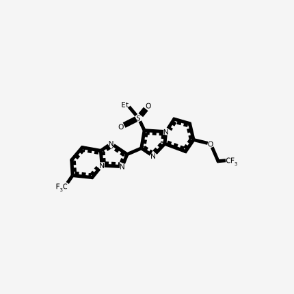 CCS(=O)(=O)c1c(-c2nc3ccc(C(F)(F)F)cn3n2)nc2cc(OCC(F)(F)F)ccn12